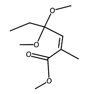 CCC(C=C(C)C(=O)OC)(OC)OC